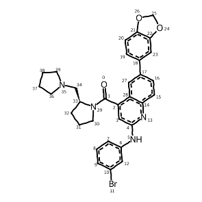 O=C(c1cc(Nc2cccc(Br)c2)nc2ccc(-c3ccc4c(c3)OCO4)cc12)N1CCC[C@H]1CN1CCCC1